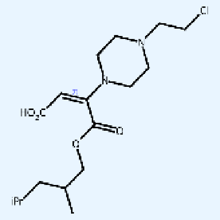 CC(C)CC(C)COC(=O)/C(=C\C(=O)O)N1CCN(CCCl)CC1